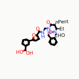 CCCCC[C@@H](C(=O)NCNC(=O)c1ccc(-c2cccc(C(O)O)c2)o1)[C@@H](CC)N(C=O)OCc1ccccc1